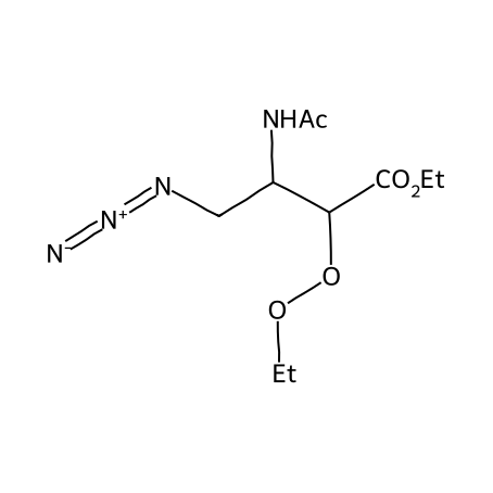 CCOOC(C(=O)OCC)C(CN=[N+]=[N-])NC(C)=O